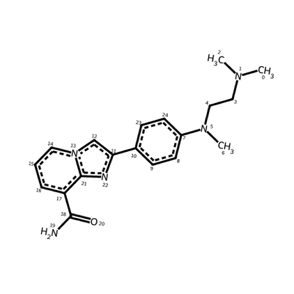 CN(C)CCN(C)c1ccc(-c2cn3cccc(C(N)=O)c3n2)cc1